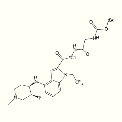 CN1CC[C@@H](Nc2cccc3c2cc(C(=O)NNC(=O)CNC(=O)OC(C)(C)C)n3CC(F)(F)F)[C@@H](F)C1